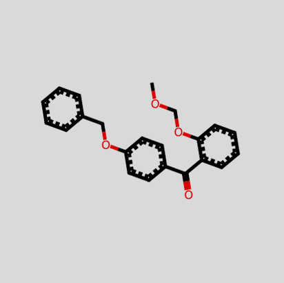 COCOc1ccccc1C(=O)c1ccc(OCc2ccccc2)cc1